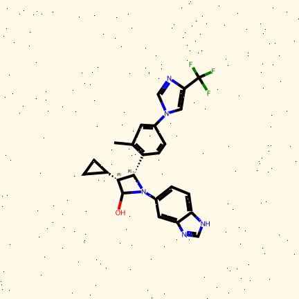 Cc1cc(-n2cnc(C(F)(F)F)c2)ccc1[C@H]1[C@@H](C2CC2)C(O)N1c1ccc2[nH]cnc2c1